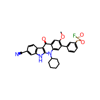 COc1cc2c(=O)c3c4ccc(C#N)cc4[nH]c3n(C3CCCCC3)c2cc1-c1cccc(S(=O)(=O)F)c1